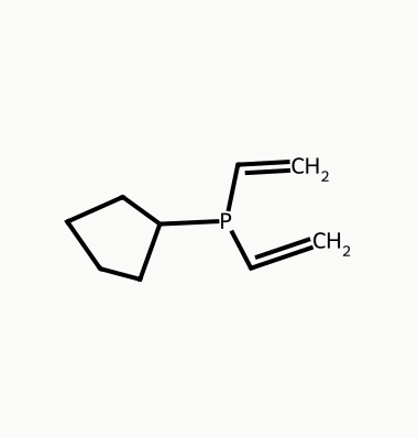 C=CP(C=C)C1CCCC1